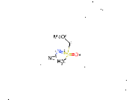 COCS(C)(=O)=NC#N